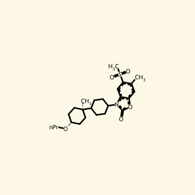 CCCO[C@H]1CC[C@](C)(C2CCC(n3c(=O)oc4cc(C)c(S(C)(=O)=O)cc43)CC2)CC1